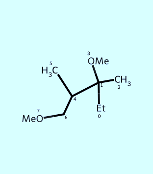 CCC(C)(OC)C(C)COC